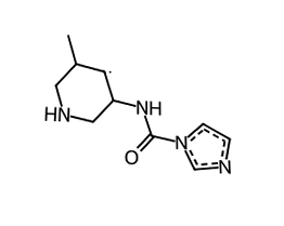 CC1[CH]C(NC(=O)n2ccnc2)CNC1